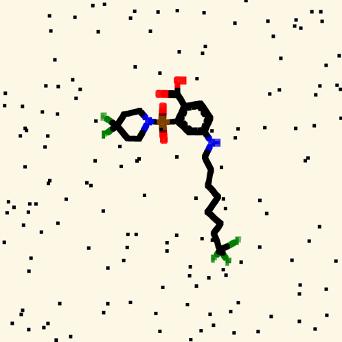 O=C(O)c1ccc(NCCCCCCCC(F)(F)F)cc1S(=O)(=O)N1CCC(F)(F)CC1